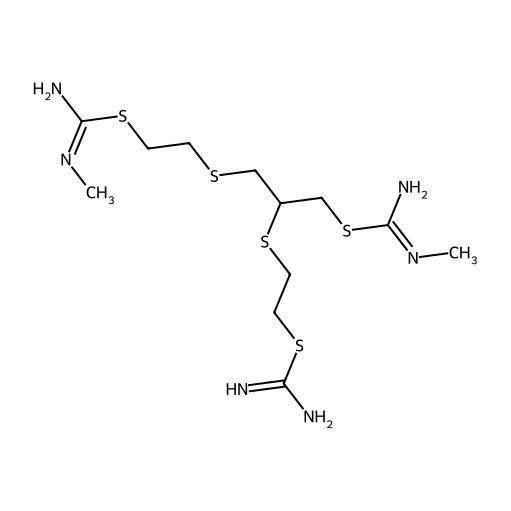 C/N=C(/N)SCCSCC(CS/C(N)=N/C)SCCSC(=N)N